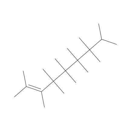 CC(C)=C(C)C(C)(C)C(C)(C)C(C)(C)C(C)(C)C(C)C